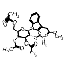 COC(=O)Cc1cn([C@@H]2O[C@H](COC(C)=O)[C@@H](OC(C)=O)[C@H](OC(C)=O)[C@H]2OC(C)=O)c2ccccc12